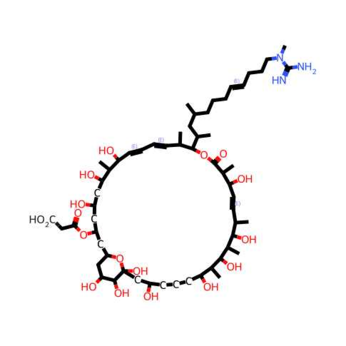 CC(CCC/C=C/CCCN(C)C(=N)N)CC(C)C1OC(=O)C(C)C(O)/C=C/C(C)C(O)C(C)C(O)C(C)C(O)CCCC(O)CC2(O)OC(CC(OC(=O)CC(=O)O)CC(O)CC(O)C(C)C(O)/C=C/C=C/C1C)CC(O)C2O